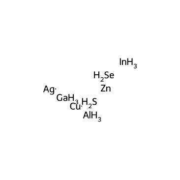 S.[Ag].[AlH3].[Cu].[GaH3].[InH3].[SeH2].[Zn]